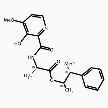 COc1ccnc(C(=O)N[C@@H](C)C(=O)O[C@H](C)[C@H](OC)c2ccccc2)c1O